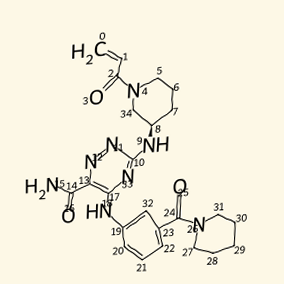 C=CC(=O)N1CCC[C@@H](Nc2nnc(C(N)=O)c(Nc3cccc(C(=O)N4CCCCC4)c3)n2)C1